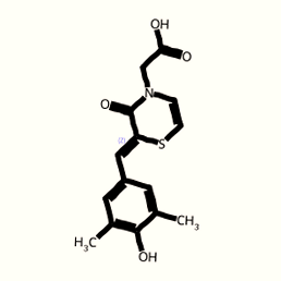 Cc1cc(/C=C2\SC=CN(CC(=O)O)C2=O)cc(C)c1O